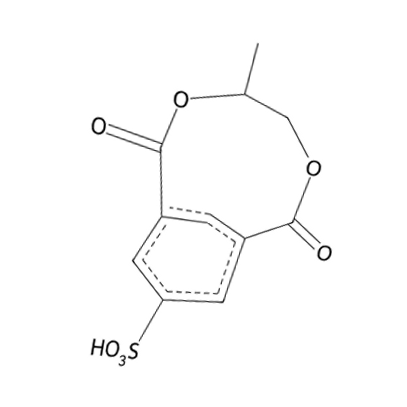 CC1COC(=O)c2cc(cc(S(=O)(=O)O)c2)C(=O)O1